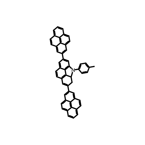 Cc1ccc(N2c3cc(-c4cc5ccc6cccc7ccc(c4)c5c67)cc4ccc5c(c34)C2CC(c2cc3ccc4cccc6ccc(c2)c3c46)=C5)cc1